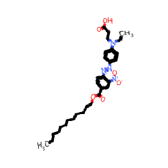 CCCCCCCCCCCCOC(=O)c1ccc(/N=N/c2ccc(N(CC)CCC(=O)O)cc2)c([N+](=O)[O-])c1